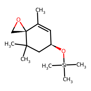 CC1=C[C@@H](O[Si](C)(C)C)CC(C)(C)[C@@]12CO2